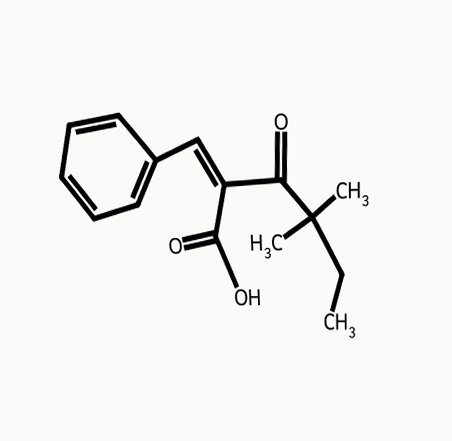 CCC(C)(C)C(=O)C(=Cc1ccccc1)C(=O)O